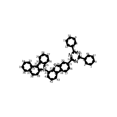 c1ccc(-c2nc(-c3ccccc3)nc(-c3ccc4c(c3)sc3c(-n5c6ccccc6c6c7ccccc7ccc65)cccc34)n2)cc1